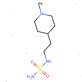 CC(C)N1CCC(CCNS(N)(=O)=O)CC1